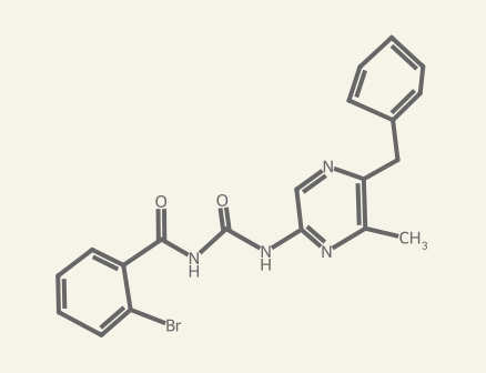 Cc1nc(NC(=O)NC(=O)c2ccccc2Br)cnc1Cc1ccccc1